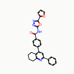 O=C(Nc1nnc(-c2ccco2)o1)c1ccc(-c2cc(-c3ccccc3)nc3c2CCCC3)cc1